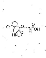 O=C(O)NCCOC(c1cccc(Cl)c1F)[C@H]1CNCCO1